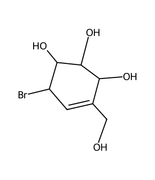 OCC1=CC(Br)C(O)C(O)C1O